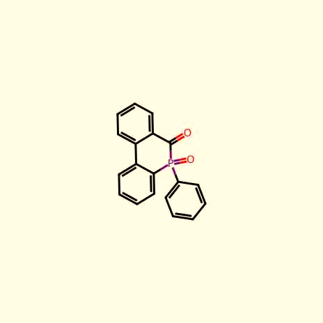 O=C1c2ccccc2-c2ccccc2P1(=O)c1ccccc1